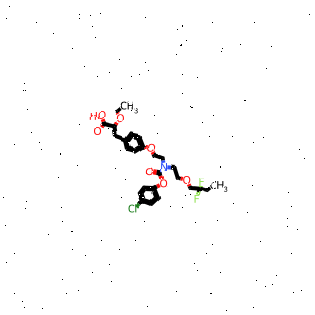 CCOC(Cc1ccc(OCCN(CCOCC(F)(F)CC)C(=O)Oc2ccc(Cl)cc2)cc1)C(=O)O